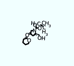 CC(C)(C)OC(=O)N1C[C@H](O[C@@H]2CCCCO2)C[C@@H]1CO